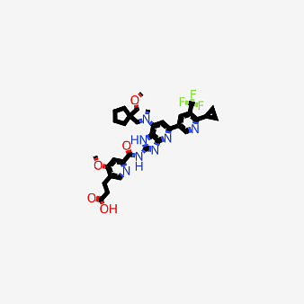 COCC1(CN(C)c2cc(-c3cnc(C4CC4)c(C(F)(F)F)c3)nc3nc(NC(=O)c4cc(OC)c(CCC(=O)O)cn4)[nH]c23)CCCC1